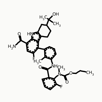 CCCOC(=O)N(C)c1c(F)cccc1C(=O)Nc1cccc(-c2c(F)cc(C(N)=O)c3[nH]c4c(c23)CCC(C(C)(C)O)C4)c1C